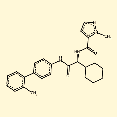 Cc1cnccc1-c1ccc(NC(=O)[C@@H](NC(=O)c2ccnn2C)C2CCCCC2)cc1